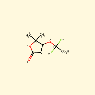 CC1(C)OC(=O)CC1OC(F)(F)C(=O)O